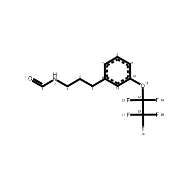 O=[C]NCCCc1cccc(OC(F)(F)C(F)(F)F)c1